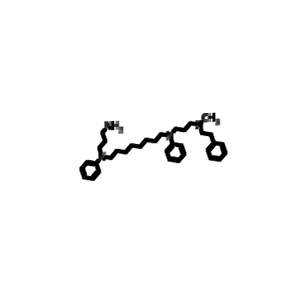 CN(CCCN(CCCCCCCCN(CCCN)c1ccccc1)c1ccccc1)CCc1ccccc1